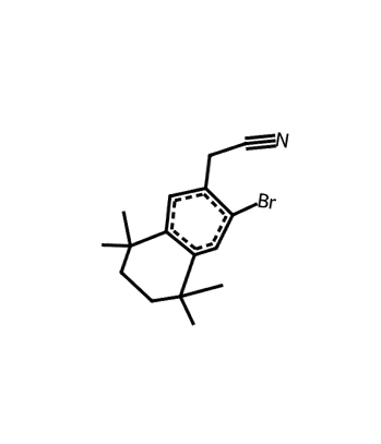 CC1(C)CCC(C)(C)c2cc(CC#N)c(Br)cc21